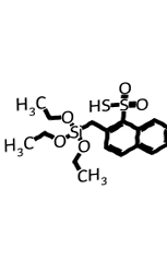 CCO[Si](Cc1ccc2ccccc2c1S(=O)(=O)S)(OCC)OCC